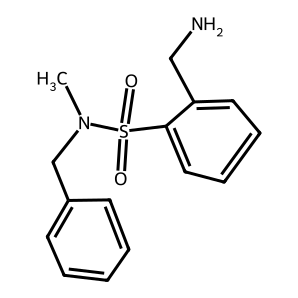 CN(Cc1ccccc1)S(=O)(=O)c1ccccc1CN